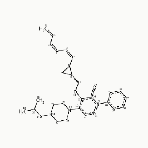 C=C/C=C\C=C/C1C[C@@H]1COc1c(N2CCN(SC(C)C)CC2)cnn(-c2ccccc2)c1=O